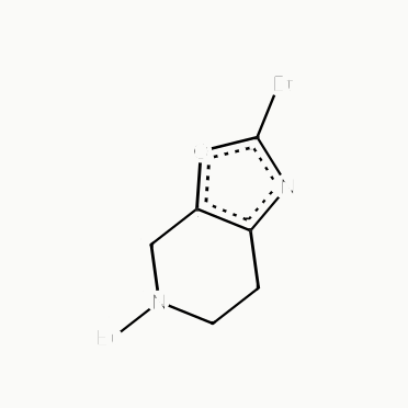 CCc1nc2c(o1)CN(CC)CC2